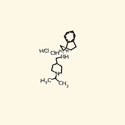 CC(C)N1CCC(CN[C@@H]2C[C@@]23CCc2ccccc23)CC1.Cl.Cl